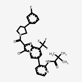 CC(C)(C)C(=O)Nc1ncccc1-c1cc(C(F)(F)F)c2nc(C(=O)N3CCC(c4cccc(F)c4)C3)c(Cl)n2c1